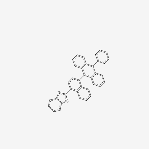 c1ccc(-c2c3ccccc3c(-c3ccc(-c4nc5ccccc5s4)c4ccccc34)c3ccccc23)cc1